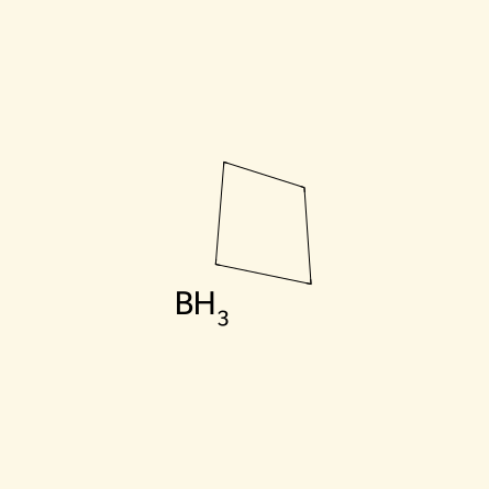 B.C1CCC1